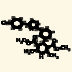 COC(=O)C1=C(C)NC(C)=C(C(=O)OC)C1c1cccc(-c2nc(-c3ccc(Cl)cc3)cs2)c1